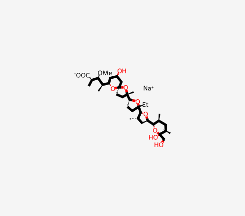 CC[C@@]1([C@@H]2O[C@@H]([C@H]3O[C@@](O)(CO)[C@H](C)C[C@@H]3C)C[C@@H]2C)CC[C@H]([C@]2(C)CC[C@]3(C[C@H](O)[C@@H](C)[C@@H]([C@@H](C)[C@@H](OC)[C@H](C)C(=O)[O-])O3)O2)O1.[Na+]